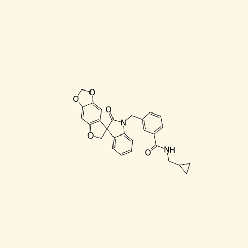 O=C(NCC1CC1)c1cccc(CN2C(=O)C3(COc4cc5c(cc43)OCO5)c3ccccc32)c1